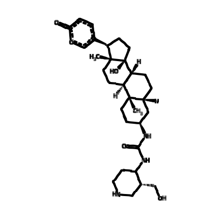 C[C@]12CC[C@H](NC(=O)NC3CCNC[C@H]3CO)C[C@H]1CC[C@@H]1[C@@H]2CC[C@]2(C)[C@@H](c3ccc(=O)oc3)CC[C@]12O